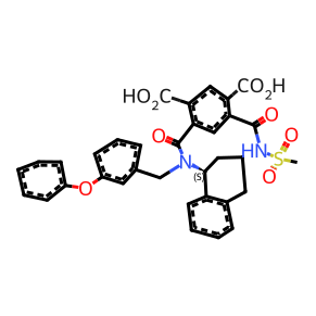 CS(=O)(=O)NC(=O)c1cc(C(=O)N(Cc2cccc(Oc3ccccc3)c2)[C@H]2CCCc3ccccc32)c(C(=O)O)cc1C(=O)O